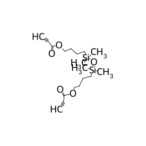 C#CC(=O)OCCCC[Si](C)(C)O[Si](C)(C)CCCCOC(=O)C#C